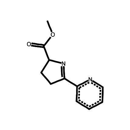 COC(=O)C1CCC(c2ccccn2)=N1